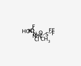 CCN(C(=O)CCSCCC(F)(F)F)c1cn(-c2cc(F)c[n+](O)c2)nc1Cl